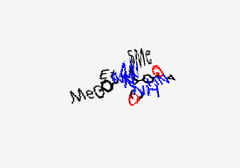 C1COCCN1.CCN(Cc1ccc(OC)cc1)c1nc(SC)nc2c(-c3ccc(C(=O)NC4CC4)cc3)cnn12